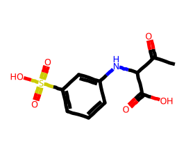 CC(=O)C(Nc1cccc(S(=O)(=O)O)c1)C(=O)O